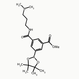 COC(=O)c1cc(B2OC(C)(C)C(C)(C)O2)cc(C(=O)NCCCN(C)C)c1